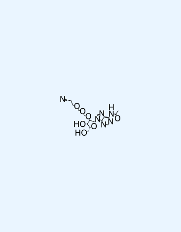 CC(=O)Nc1ncnc2c1ncn2[C@@H]1O[C@H](CO)[C@H](O)[C@@H]1OCOCOCCC#N